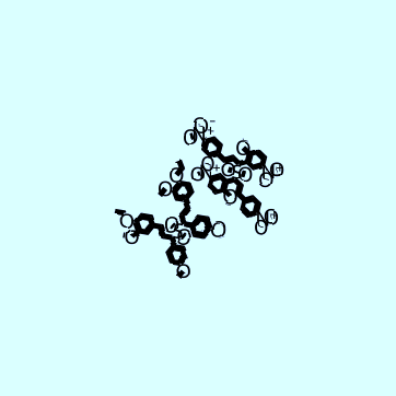 CCOc1ccc(C=CC(c2ccc(OC)cc2)S(=O)(=O)C(C=Cc2ccc(OCC)c(OC)c2)c2ccc(OC)cc2)cc1OC.COc1ccc([N+](=O)[O-])cc1C(C=Cc1ccc([N+](=O)[O-])cc1)S(=O)(=O)C(C=Cc1ccc([N+](=O)[O-])cc1)c1cc([N+](=O)[O-])ccc1OC